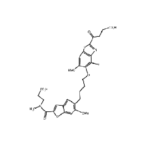 COc1cc2sc(C(=O)N(C)CCC(=O)O)cc2cc1CCCCOc1c(OC)cc2sc(C(=O)CCC(=O)O)nc2c1F